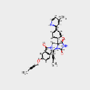 CC#CCOc1ccc2c(c1)C(=O)N(C[C@@]1(c3ccc(-c4cc(C)ccn4)cc3)C(=O)NC(=O)N1CC#CC)C2